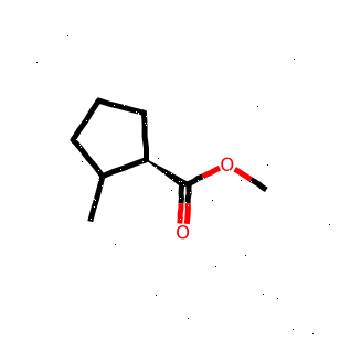 COC(=O)[C@@H]1CCCC1C